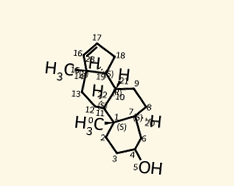 C[C@]12CCC(O)C[C@@H]1CC[C@@H]1[C@@H]2CC[C@]2(C)C=CC[C@@H]12